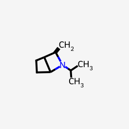 C=C1C2CCC2N1C(C)C